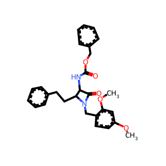 COc1ccc(CN2C(=O)C(NC(=O)OCc3ccccc3)C2CCc2ccccc2)c(OC)c1